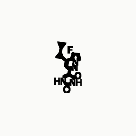 O=c1[nH]cc(-c2cc(C3CC3C3CC3)c3c(F)ccn3n2)c(=O)[nH]1